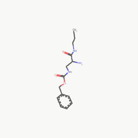 CCCNC(=O)C(N)CNC(=O)OCc1ccccc1